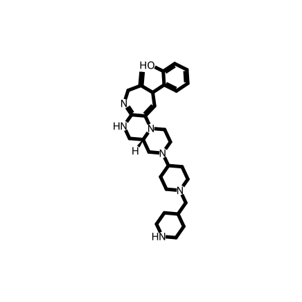 C=C1CN=C2NC[C@H]3CN(C4CCN(CC5CCNCC5)CC4)CCN3C2=CC1c1ccccc1O